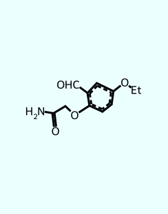 CCOc1ccc(OCC(N)=O)c(C=O)c1